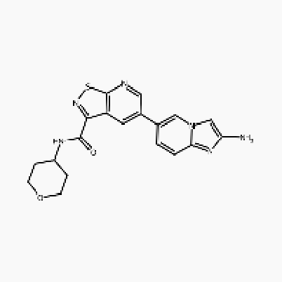 Nc1cn2cc(-c3cnc4snc(C(=O)NC5CCOCC5)c4c3)ccc2n1